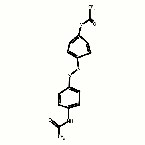 O=C(Nc1ccc(SSc2ccc(NC(=O)C(F)(F)F)cc2)cc1)C(F)(F)F